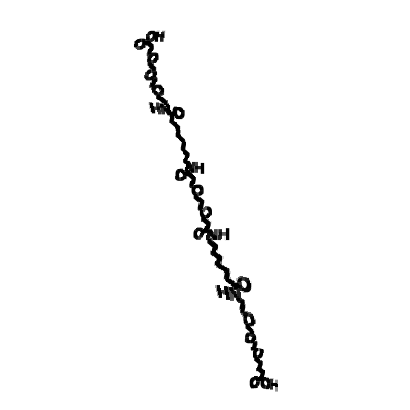 O=C(O)CCCCOCCOCCOCCNC(=O)CCCCCCCNC(=O)CCOCCCOCCC(=O)NCCCCCCCC(=O)NCCOCCOCCOCCC(=O)O